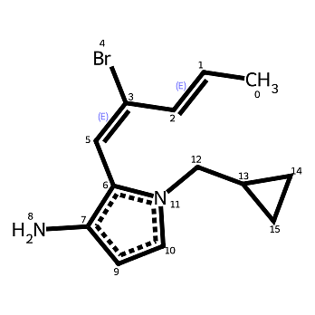 C/C=C/C(Br)=C\c1c(N)ccn1CC1CC1